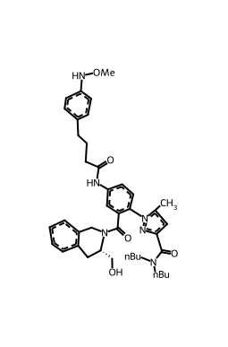 CCCCN(CCCC)C(=O)c1cc(C)n(-c2ccc(NC(=O)CCCc3ccc(NOC)cc3)cc2C(=O)N2Cc3ccccc3C[C@H]2CO)n1